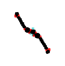 C=C(C)C(=O)OCCCCCCCCCCCCOc1ccc(C(=O)Oc2cc(F)c(OC(=O)c3ccc(OCCCCCCCCCCCCOC(=O)C(=C)C)cc3)c(F)c2F)cc1